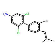 CC(C)=Cc1ccc(-c2c(Cl)cc(N)cc2Cl)cc1C#N